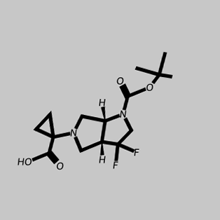 CC(C)(C)OC(=O)N1CC(F)(F)[C@@H]2CN(C3(C(=O)O)CC3)C[C@@H]21